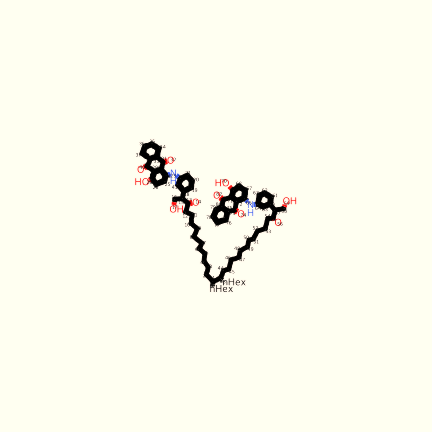 CCCCCCC(CCCCCCCCCCCC(=O)C(CO)c1cccc(Nc2ccc(O)c3c2C(=O)c2ccccc2C3=O)c1)C(CCCCCC)CCCCCCCCCCCC(=O)C(CO)c1cccc(Nc2ccc(O)c3c2C(=O)c2ccccc2C3=O)c1